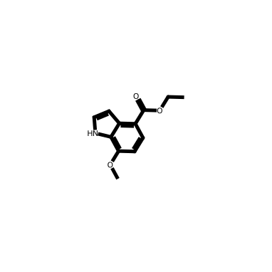 CCOC(=O)c1ccc(OC)c2[nH]ccc12